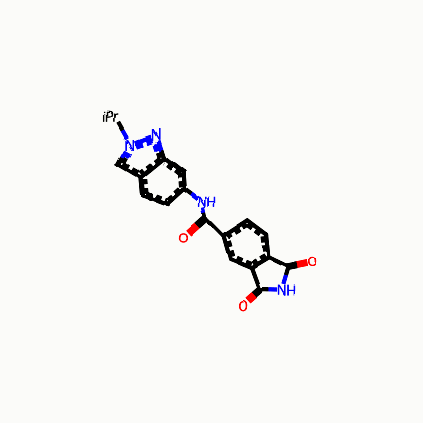 CC(C)n1cc2ccc(NC(=O)c3ccc4c(c3)C(=O)NC4=O)cc2n1